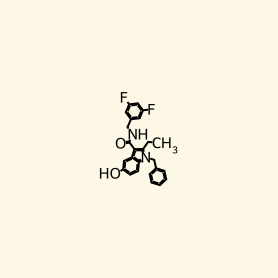 CCc1c(C(=O)NCc2cc(F)cc(F)c2)c2cc(O)ccc2n1Cc1ccccc1